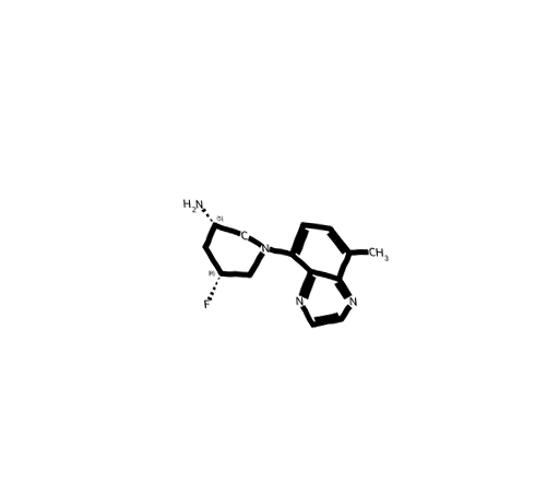 Cc1ccc(N2C[C@@H](N)C[C@@H](F)C2)c2nccnc12